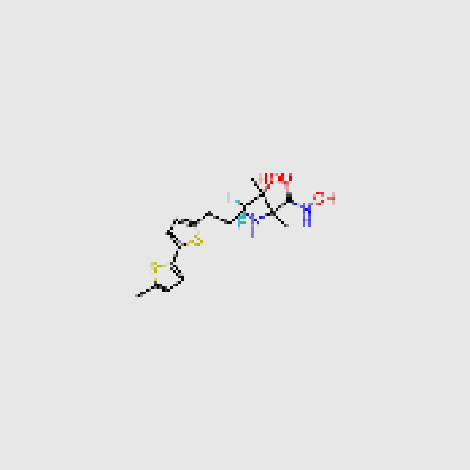 Cc1ccc(-c2ccc(CCCNC(C)(C(=O)NO)C(C)(O)C(F)F)s2)s1